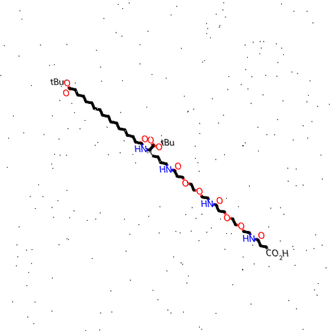 CC(C)(C)OC(=O)CCCCCCCCCCCCCCCCC(=O)N[C@@H](CCCCNC(=O)CCOCCOCCNC(=O)CCOCCOCCNC(=O)CCC(=O)O)C(=O)OC(C)(C)C